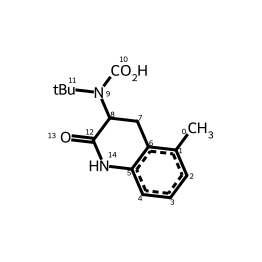 Cc1cccc2c1CC(N(C(=O)O)C(C)(C)C)C(=O)N2